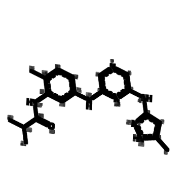 Cc1cc(Nc2cncc(Nc3ccc(C)c(NC(=O)C(C)C)c3)n2)n[nH]1